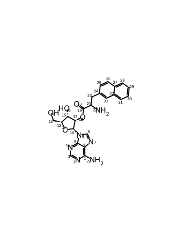 Nc1ncnc2c1ncn2[C@H]1O[C@@H](CO)[C@H](O)[C@H]1OC(=O)C(N)Cc1ccc2ccccc2c1